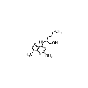 CCCC[C@@H](CO)Nc1nc(N)nc2c(C)csc12